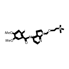 COc1cc(I)c(C(=O)Nc2ccnc3c2ccn3COCC[Si](C)(C)C)cc1OC